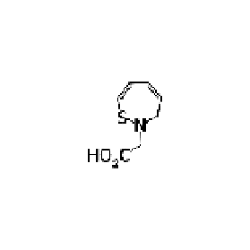 O=C(O)CN1CC=CC=CS1